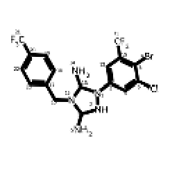 NC1NN(c2cc(Cl)c(Br)c(C(F)(F)F)c2)C(N)N1Cc1ccc(C(F)(F)F)cc1